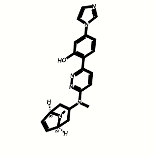 CN(c1ccc(-c2ccc(-n3ccnc3)cc2O)nn1)C1C[C@H]2C=C[C@@H](C1)N2C